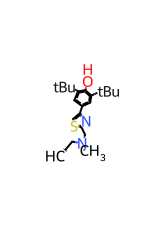 C#CCN(C)Cc1nc(-c2cc(C(C)(C)C)c(O)c(C(C)(C)C)c2)cs1